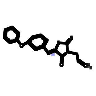 C=CCN1C(=O)/C(=C/c2cccc(Oc3ccccc3)c2)SC1=S